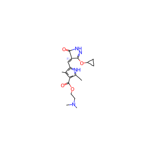 Cc1[nH]c(/C=C2/C(=O)NN=C2OC2CC2)c(C)c1C(=O)OCCN(C)C